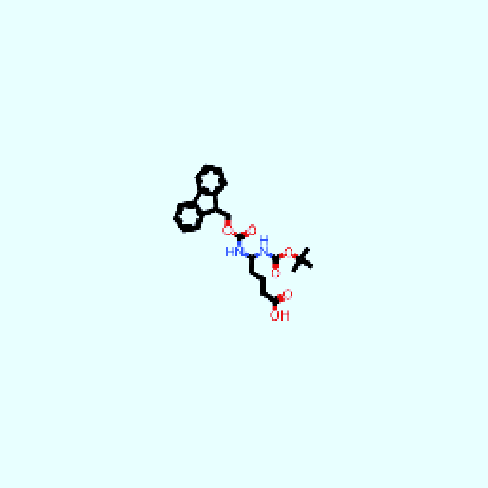 CC(C)(C)OC(=O)NC(CCCC(=O)O)NC(=O)OCC1c2ccccc2-c2ccccc21